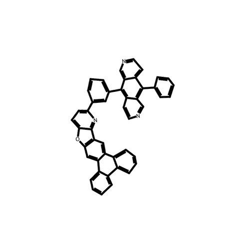 c1ccc(-c2c3ccncc3c(-c3cccc(-c4ccc5oc6cc7c8ccccc8c8ccccc8c7cc6c5n4)c3)c3ccncc23)cc1